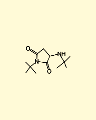 CC(C)(C)NC1CC(=O)N(C(C)(C)C)C1=O